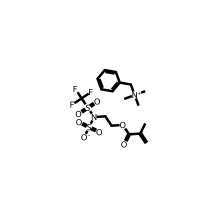 C=C(C)C(=O)OCCN(S(=O)(=O)[O-])S(=O)(=O)C(F)(F)F.C[N+](C)(C)Cc1ccccc1